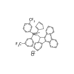 FC(F)(F)c1cccc([C](c2cccc(C(F)(F)F)c2)=[Hf+2]([C]2=CC=CC2)[CH]2c3ccccc3-c3c2c2ccccc2c2ccccc32)c1.[Cl-].[Cl-]